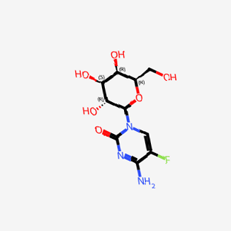 Nc1nc(=O)n(C2O[C@H](CO)[C@H](O)[C@H](O)[C@H]2O)cc1F